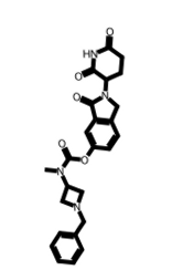 CN(C(=O)Oc1ccc2c(c1)C(=O)N(C1CCC(=O)NC1=O)C2)C1CN(Cc2ccccc2)C1